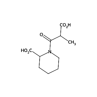 CC(C(=O)O)C(=O)N1CCCCC1C(=O)O